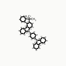 CC1(C)c2ccccc2-c2c1ccc1c2c2ccccc2n1-c1ccc(-n2c3ccccc3c3ccccc32)cc1